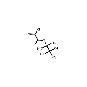 CC(C)(C)[Si](C)(C)OC(O)C(=O)Cl